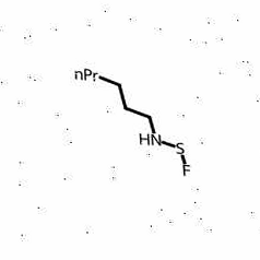 CCCCCCNSF